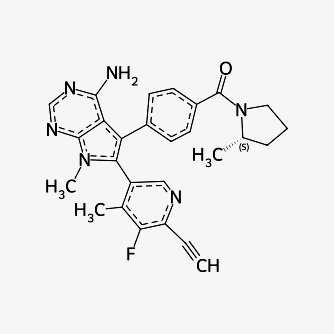 C#Cc1ncc(-c2c(-c3ccc(C(=O)N4CCC[C@@H]4C)cc3)c3c(N)ncnc3n2C)c(C)c1F